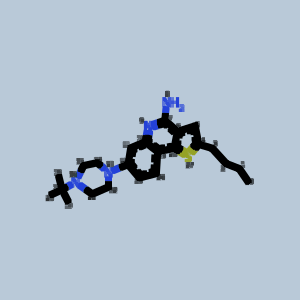 CCCCc1cc2c(N)nc3cc(N4CCN(C(C)(C)C)CC4)ccc3c2s1